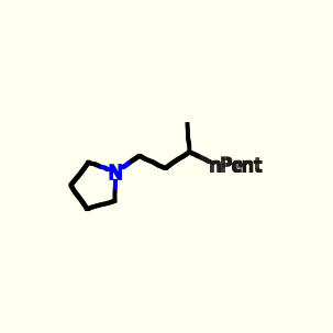 [CH2]CCCCC(C)CCN1CCCC1